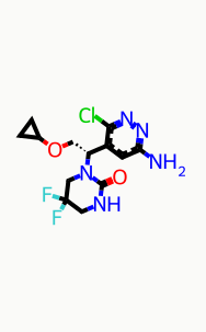 Nc1cc([C@@H](COC2CC2)N2CC(F)(F)CNC2=O)c(Cl)nn1